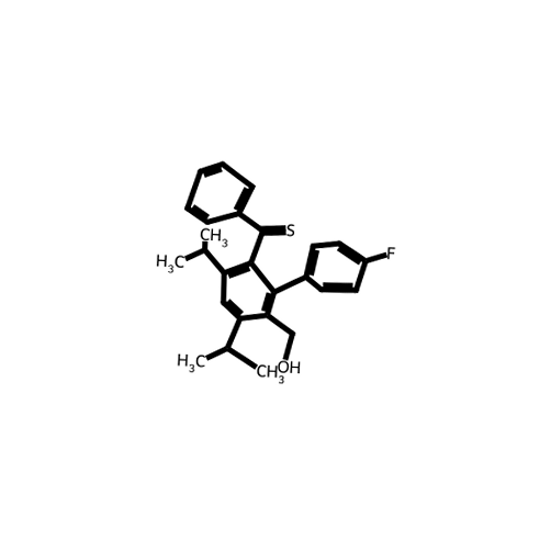 CC(C)c1cc(C(C)C)c(C(=S)c2ccccc2)c(-c2ccc(F)cc2)c1CO